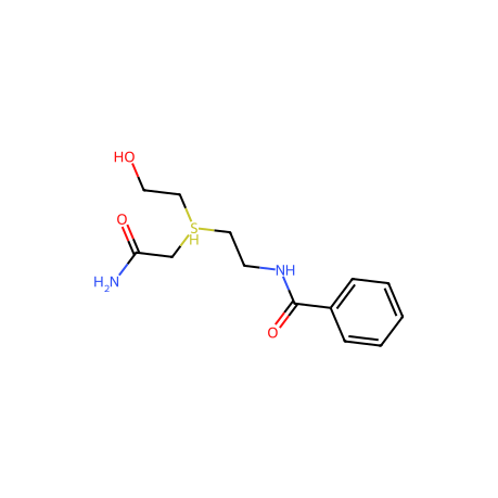 NC(=O)C[SH](CCO)CCNC(=O)c1ccccc1